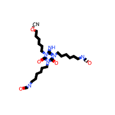 N#COCCCCCCn1c(=N)n(CCCCCCN=C=O)c(=O)n(CCCCCCN=C=O)c1=O